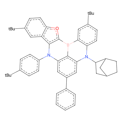 CC(C)(C)c1ccc(N2c3cc(-c4ccccc4)cc4c3B(c3cc(C(C)(C)C)ccc3N4C3CC4CCC3C4)c3oc4ccc(C(C)(C)C)cc4c32)cc1